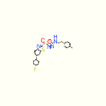 Cc1ccc(CCNc2nnc(C(=O)c3nc4ccc(-c5ccc(F)cc5)cc4s3)o2)cc1